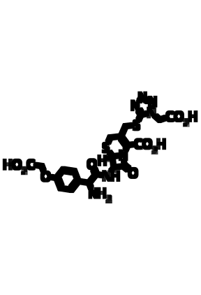 NC(C(=O)N[C@@H]1C(=O)N2C(C(=O)O)=C(CSc3nnnn3CC(=O)O)CS[C@@H]12)c1ccc(OCC(=O)O)cc1